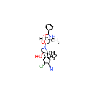 CC(C)(CC(=O)N1CCC(O)(c2ccc(C#N)c(Cl)c2)C(C)(C)C1)NC(=O)c1ccccc1